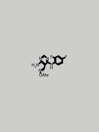 CO/N=C/c1c(N)ncnc1Nc1ccc(F)cc1F